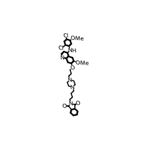 COc1cc(Nc2ccnc3cc(OCCCN4CCN(CCCCN5C(=O)c6ccccc6C5=O)CC4)c(OC)cc23)c(Cl)cc1Cl